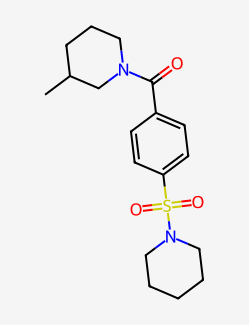 CC1CCCN(C(=O)c2ccc(S(=O)(=O)N3CCCCC3)cc2)C1